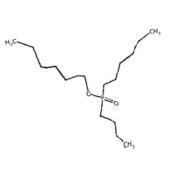 CCCCCCOP(=O)(CCCC)CCCCCC